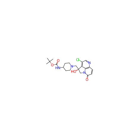 CC(C)(C)OC(=O)NC1CCN(C[C@@]2(O)Cn3c(=O)ccc4ncc(Cl)c2c43)CC1